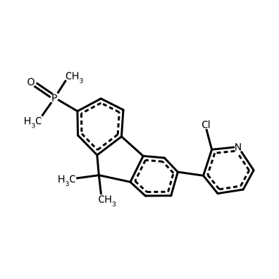 CC1(C)c2ccc(-c3cccnc3Cl)cc2-c2ccc(P(C)(C)=O)cc21